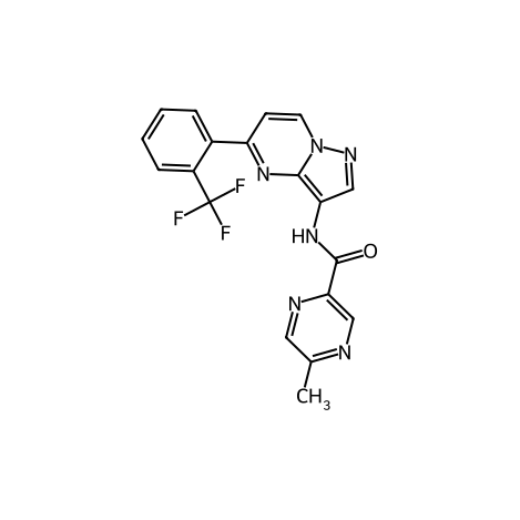 Cc1cnc(C(=O)Nc2cnn3ccc(-c4ccccc4C(F)(F)F)nc23)cn1